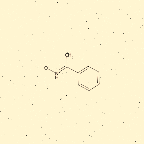 CC(=[NH+][O-])c1ccccc1